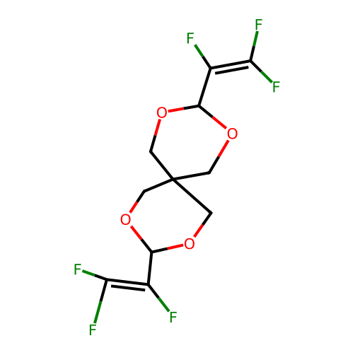 FC(F)=C(F)C1OCC2(CO1)COC(C(F)=C(F)F)OC2